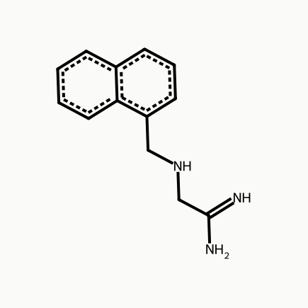 N=C(N)CNCc1cccc2ccccc12